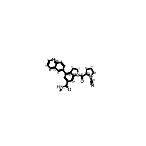 CNC(=O)c1cc(-c2ccc3ncccc3c2)c2c(c1)N(C(=O)C1CCCN1C#N)CC2